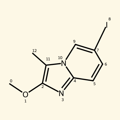 COc1nc2ccc(I)cn2c1C